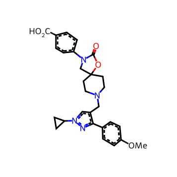 COc1ccc(-c2nn(C3CC3)cc2CN2CCC3(CC2)CN(c2ccc(C(=O)O)cc2)C(=O)O3)cc1